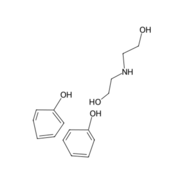 OCCNCCO.Oc1ccccc1.Oc1ccccc1